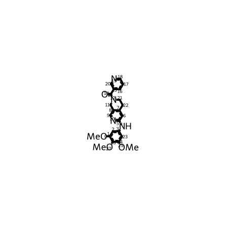 COc1cc(Nc2cc3c(cn2)CN(C(=O)c2cccnc2)CC3)cc(OC)c1OC